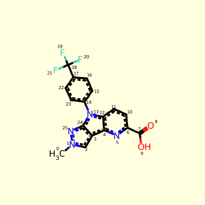 Cn1cc2c3nc(C(=O)O)ccc3n(-c3ccc(C(F)(F)F)cc3)c2n1